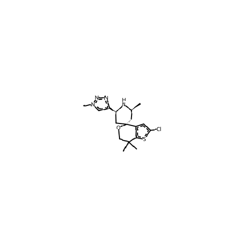 C[C@H]1C[C@@]2(C[C@@H](c3cn(C)nn3)N1)OCC(C)(C)c1sc(Cl)cc12